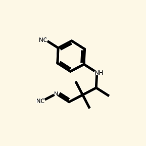 CC(Nc1ccc(C#N)cc1)C(C)(C)C=NC#N